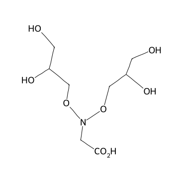 O=C(O)CN(OCC(O)CO)OCC(O)CO